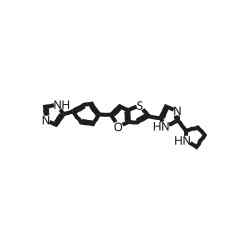 c1ncc(-c2ccc(-c3cc4sc(-c5cnc(C6CCCN6)[nH]5)cc4o3)cc2)[nH]1